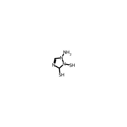 NN1C=NC(S)N1S